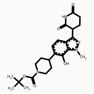 Cn1nc(C2CCC(=O)NC2=O)c2ccc(C3CCN(C(=O)OC(C)(C)C)CC3)c(O)c21